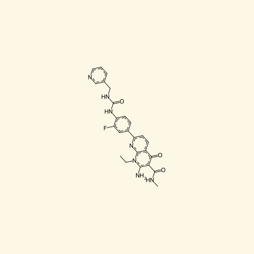 CCn1c(N)c(C(=O)NC)c(=O)c2ccc(-c3ccc(NC(=O)NCc4cccnc4)c(F)c3)nc21